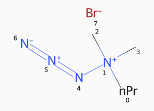 CCC[N+](C)(C)N=[N+]=[N-].[Br-]